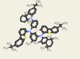 Cc1cc2c3c(c1)N(c1cc4c(cc1C)C(C)(C)CCC4(C)C)c1c(ccc4c1sc1ccc(C(C)(C)C)cc14)B3c1ccc(N3c4ccc(C(C)(C)C)cc4C4(C)CCCCC34C)cc1N2c1cccc2c1sc1ccc(C(C)(C)C)cc12